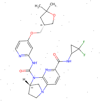 CC1(C)C[C@@H](COc2ccnc(NC(=O)N3c4nc(C(=O)NC5CC5(F)F)ccc4N4CC[C@H]3C4)c2)CO1